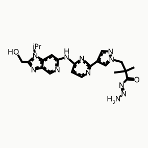 CC(C)n1c(CO)nc2cnc(Nc3ccnc(-c4cnn(CC(C)(C)C(=O)N=NN)c4)n3)cc21